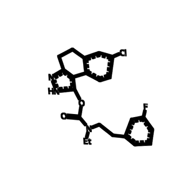 CCN(CCc1cccc(F)c1)C(=O)Oc1[nH]nc2c1-c1ccc(Cl)cc1CC2